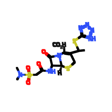 CC(Sc1nnn[nH]1)C1=C(C(=O)O)N2C(=O)C(NC(=O)CS(=O)(=O)N(C)C)[C@@H]2SC1